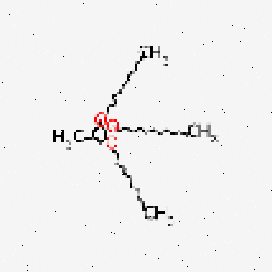 CCCCCCCCCCCCOc1cc(CC)cc(OCCCCCCCCCCCC)c1OCCCCCCCCCCCC